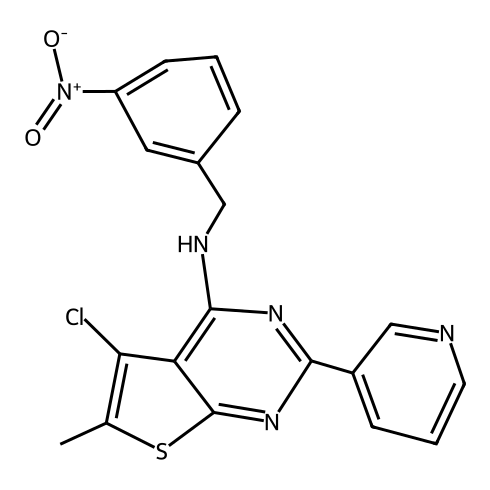 Cc1sc2nc(-c3cccnc3)nc(NCc3cccc([N+](=O)[O-])c3)c2c1Cl